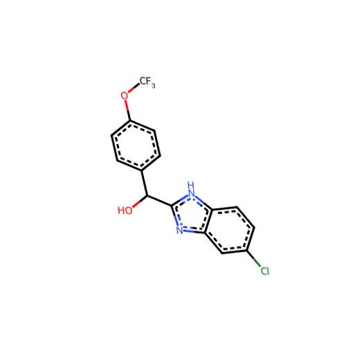 OC(c1ccc(OC(F)(F)F)cc1)c1nc2cc(Cl)ccc2[nH]1